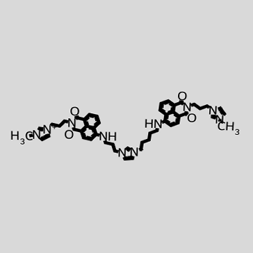 Cn1cc[n+](CCCN2C(=O)c3cccc4c(NCCCCC[n+]5ccn(CCCNc6ccc7c8c(cccc68)C(=O)N(CCC[n+]6ccn(C)c6)C7=O)c5)ccc(c34)C2=O)c1